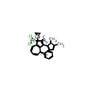 CC1=CC(C)=C(C2=C(C)[C]([Ge]3=[CH][CH2]3)([Hf]([Cl])[Cl])C3=C2C(c2ccccc2)C=CC=C3)C1C